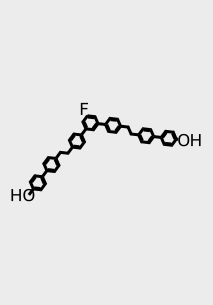 Oc1ccc(-c2ccc(CCc3ccc(-c4cc(F)cc(-c5ccc(CCc6ccc(-c7ccc(O)cc7)cc6)cc5)c4)cc3)cc2)cc1